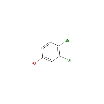 [O]c1ccc(Br)c(Br)c1